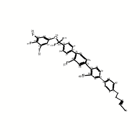 C/C=C/CCc1ccc(-c2ccc(-c3ccc(-c4ccc(C(F)(F)Oc5cc(F)c(F)c(F)c5)cc4)c(F)c3)c(F)c2)cc1